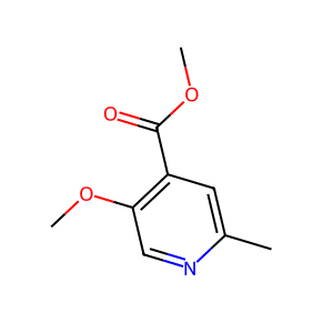 COC(=O)c1cc(C)ncc1OC